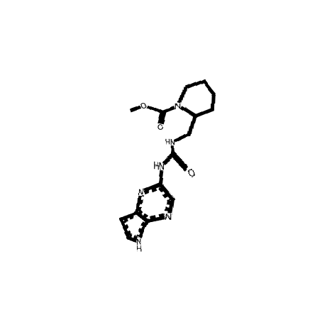 COC(=O)N1CCCCC1CNC(=O)Nc1cnc2[nH]ccc2n1